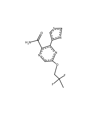 CC(F)(F)COc1cnc(C(N)=O)c(-c2cscn2)n1